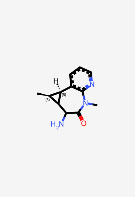 C[C@@H]1C2C(N)C(=O)N(C)c3ncccc3[C@@H]21